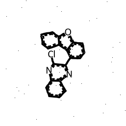 Clc1nc2ccccc2nc1-c1cccc2oc3ccccc3c12